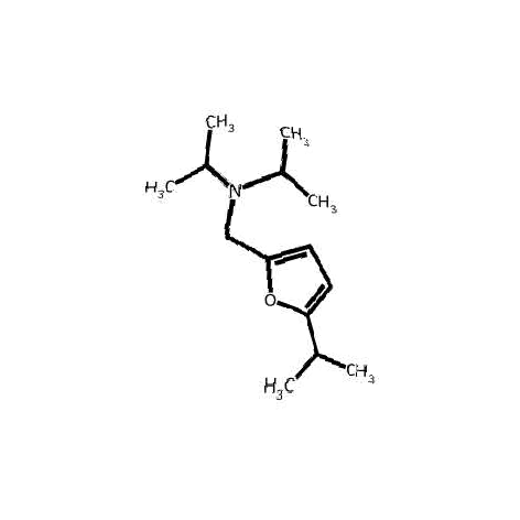 CC(C)c1ccc(CN(C(C)C)C(C)C)o1